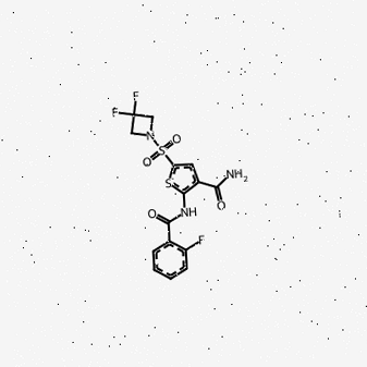 NC(=O)c1cc(S(=O)(=O)N2CC(F)(F)C2)sc1NC(=O)c1ccccc1F